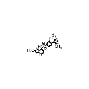 Cc1cc2nccc(NS(=O)(=O)c3ccc(-c4c(C)noc4C)c(F)c3)n2n1